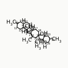 CC1=C2C[C@H]3[C@@H](CC[C@@H]4C[C@H](C)CC[C@@]43C)[C@@H]2CCC2(C1)O[C@@H]1C[C@H](C)CN[C@H]1[C@H]2C